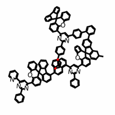 CC1C=CC2=C(C1)c1cc(-c3ccccc3-c3ccc(-c4cc(-c5cccc6c5Oc5ccccc5C65c6ccccc6-c6ccccc65)nc(-c5ccc(-c6ccccc6)cc5)n4)cc3)ccc1C21c2ccccc2Oc2c(-c3cc(-c4cccc5cc(-c6cccc7c6-c6ccccc6C76c7ccccc7Oc7c(-c8cc(-c9ccccn9)nc(-c9ccccc9)n8)cccc76)ccc45)nc(-c4ccccc4)n3)cccc21